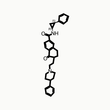 O=C(N[C@@H]1C[C@H]1c1ccccc1)c1ccc2c(c1)CCC(CCN1CCC(c3ccccc3)CC1)C2=O